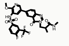 CNC(=O)C(C)Cn1cnc2ccc(-c3cnc(OC)c(NS(=O)(=O)c4ccc(F)c(C(F)(F)F)c4)c3)cc2c1=O